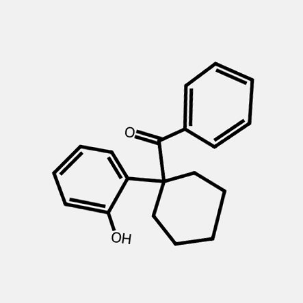 O=C(c1ccccc1)C1(c2ccccc2O)CCCCC1